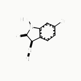 CN1C(=O)C(=[N+]=[N-])c2ccc(Br)cc21